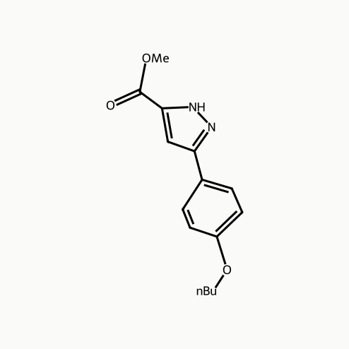 CCCCOc1ccc(-c2cc(C(=O)OC)[nH]n2)cc1